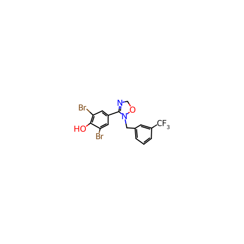 Oc1c(Br)cc(C2=NCON2Cc2cccc(C(F)(F)F)c2)cc1Br